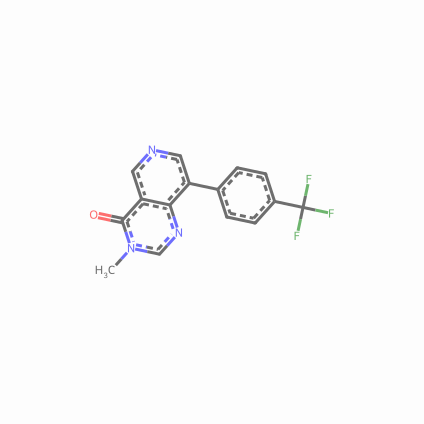 Cn1cnc2c(-c3ccc(C(F)(F)F)cc3)cncc2c1=O